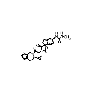 CNC(=O)Nc1ccc2c(c1)CC[C@]21OC(=O)N(CC(=O)N2Cc3sccc3CCC2C2CC2)C1=O